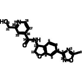 Cc1nc(-c2ccc3c(c2)OCC3NC(=O)c2ccnc(CO)c2)no1